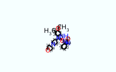 COc1cc2[nH]c(=O)n(C3CCN(C4CCOCC4)CC3)c2cc1C.O=C1N=c2ccccc2=N1